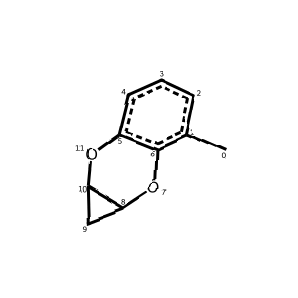 Cc1cccc2c1OC1CC1O2